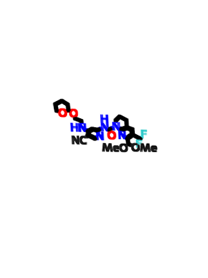 COC(OC)c1nc2c(cc1C(F)F)CCCN2C(=O)Nc1cc(NCCOC2CCCCO2)c(C#N)cn1